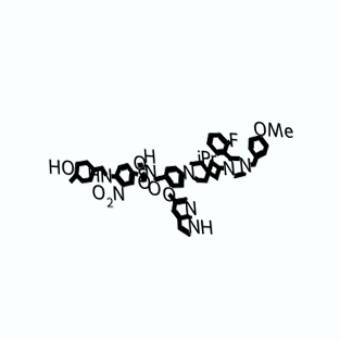 COc1ccc(CN2CCN(C3CC4(CCN(c5ccc(C(=O)NS(=O)(=O)c6ccc(NCC7CCC(C)(O)CC7)c([N+](=O)[O-])c6)c(Oc6cnc7[nH]ccc7c6)c5)CC4)C3)C(c3c(F)cccc3C(C)C)C2)cc1